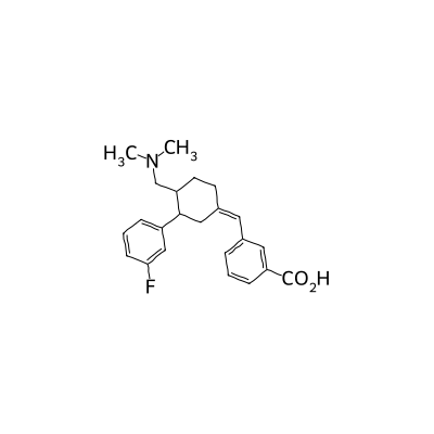 CN(C)CC1CCC(=Cc2cccc(C(=O)O)c2)CC1c1cccc(F)c1